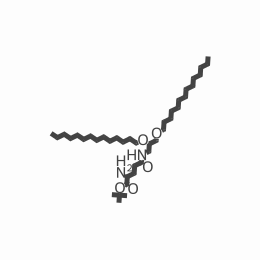 CCCCCCCCCCCCCCOCC(CNC(=O)CC[C@H](N)C(=O)OC(C)(C)C)OCCCCCCCCCCCCCC